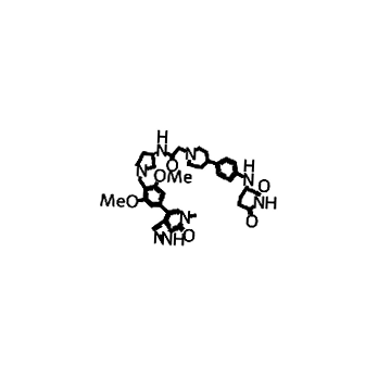 COc1cc(-c2cn(C)c(=O)c3[nH]ncc23)cc(OC)c1CN1CC[C@@H](NC(=O)CN2CCC(c3ccc(NC4CCC(=O)NC4=O)cc3)CC2)C1